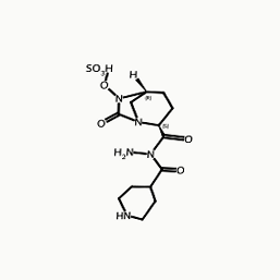 NN(C(=O)C1CCNCC1)C(=O)[C@@H]1CC[C@@H]2CN1C(=O)N2OS(=O)(=O)O